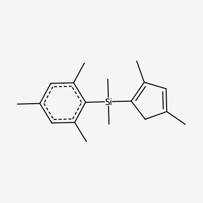 CC1=CC(C)=C([Si](C)(C)c2c(C)cc(C)cc2C)C1